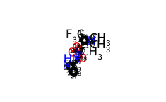 C[C@H]1[C@@H](c2cc(N(C)C)cc(C(F)(F)F)c2)OC(=O)N1C(=O)NCc1cncc2ccccc12